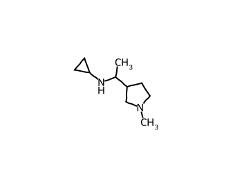 CC(NC1CC1)C1CCN(C)C1